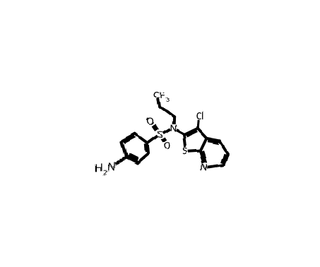 Nc1ccc(S(=O)(=O)N(CCC(F)(F)F)c2sc3ncccc3c2Cl)cc1